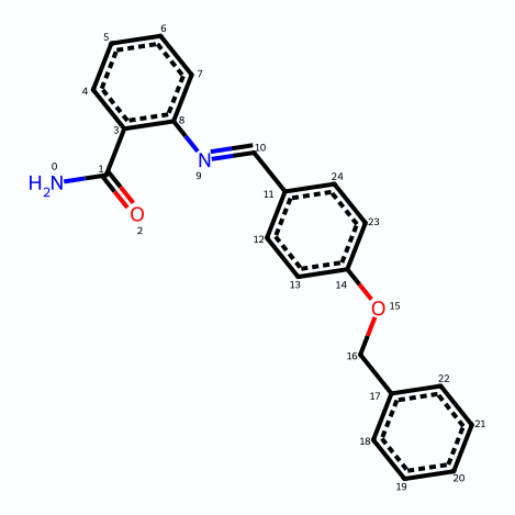 NC(=O)c1ccccc1/N=C/c1ccc(OCc2ccccc2)cc1